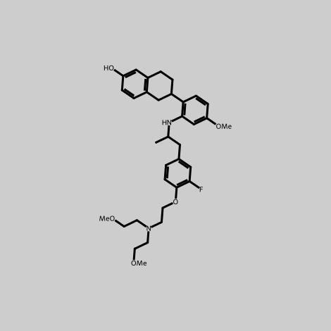 COCCN(CCOC)CCOc1ccc(CC(C)Nc2cc(OC)ccc2C2CCc3cc(O)ccc3C2)cc1F